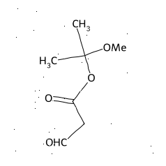 COC(C)(C)OC(=O)CC=O